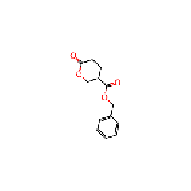 O=C1CCC(C(=O)OCc2ccccc2)CO1